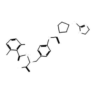 O=C(N[C@@H](Cc1ccc(NC(=O)[C@@H]2CC[C@H](NC3=NCCN3)C2)cc1)C(=O)O)c1c(Cl)cccc1Cl